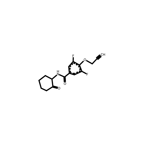 C#CCOc1c(F)cc(C(=O)NC2CCCCC2=O)cc1F